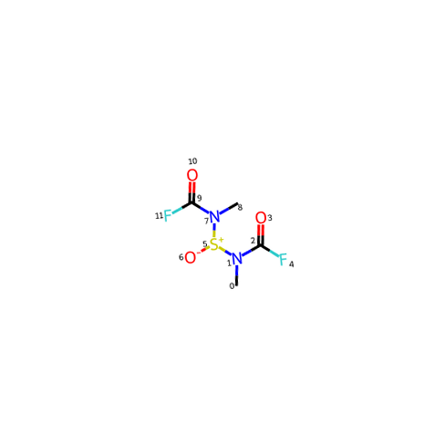 CN(C(=O)F)[S+]([O-])N(C)C(=O)F